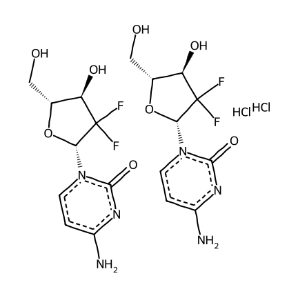 Cl.Cl.Nc1ccn([C@@H]2O[C@H](CO)[C@@H](O)C2(F)F)c(=O)n1.Nc1ccn([C@@H]2O[C@H](CO)[C@@H](O)C2(F)F)c(=O)n1